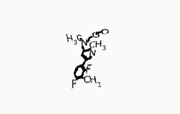 Cc1ncc(-c2ccc(F)c(C)c2F)cc1CN(C)CCOC=O